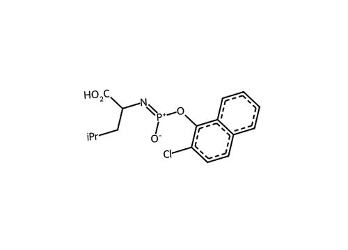 CC(C)CC(/N=[P+](\[O-])Oc1c(Cl)ccc2ccccc12)C(=O)O